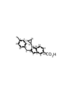 Cc1ccc(Cc2cc3cc(C(=O)O)ccc3n2C2CC2)cc1